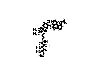 CC(C)N(CCCCNC(=O)[C@@H](O)[C@@H](O)[C@H](O)[C@@H](O)CO)S(=O)(=O)c1ccc(Cl)c(COC2(c3cnccc3-c3ccccc3OC3CC3)CC2)c1